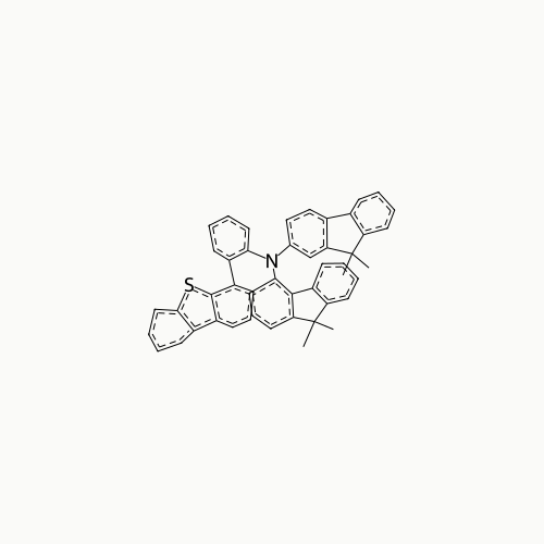 CC1(C)c2ccccc2-c2ccc(N(c3ccccc3-c3cccc4c3sc3ccccc34)c3cccc4c3-c3ccccc3C4(C)C)cc21